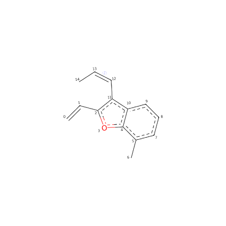 C=Cc1oc2c(C)cccc2c1/C=C\C